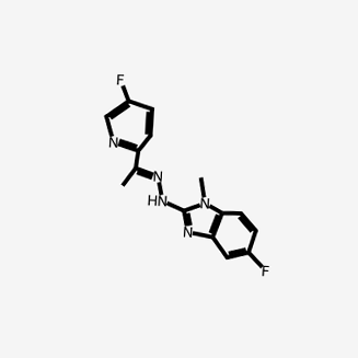 C/C(=N\Nc1nc2cc(F)ccc2n1C)c1ccc(F)cn1